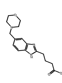 O=C(O)CCCc1nc2cc(CN3CCOCC3)ccc2[nH]1